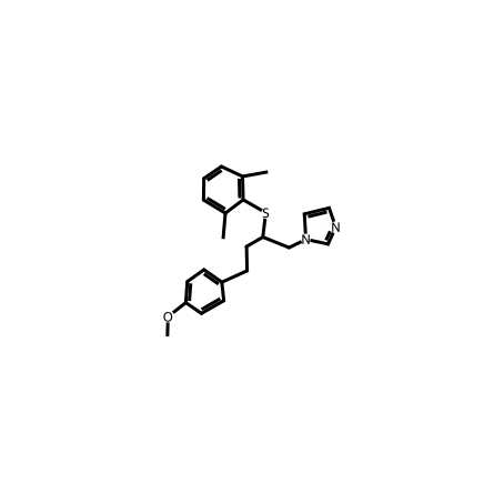 COc1ccc(CCC(Cn2ccnc2)Sc2c(C)cccc2C)cc1